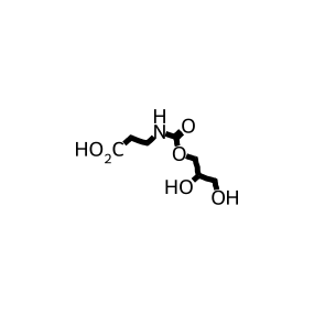 O=C(O)CCNC(=O)OCC(O)CO